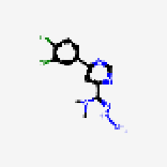 CN(C)/C(=N\NN)c1cc(-c2ccc(Cl)c(Cl)c2)ncn1